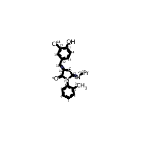 Cc1ccccc1N1C(=O)/C(=C/c2ccc(O)c(Cl)c2)S/C1=N\C(C)C